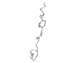 CCCCOc1ccc(SNCCCN2CCOCC2)cc1